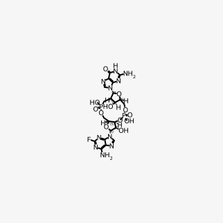 Nc1nc2c(ncn2[C@@H]2O[C@@H]3COP(=O)(O)O[C@H]4[C@@H](O)[C@H](n5cnc6c(N)nc(F)nc65)O[C@@H]4COP(=O)(O)C[C@@H]2[C@@H]3O)c(=O)[nH]1